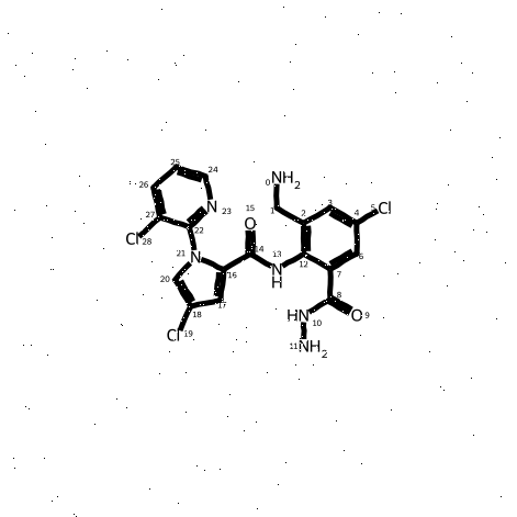 NCc1cc(Cl)cc(C(=O)NN)c1NC(=O)c1cc(Cl)cn1-c1ncccc1Cl